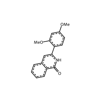 COc1ccc(-c2cc3ccccc3c(=O)[nH]2)c(OC)c1